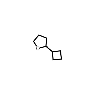 C1CO[C](C2CCC2)C1